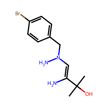 CC(C)(O)/C(N)=C/N(N)Cc1ccc(Br)cc1